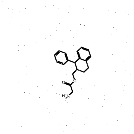 NCC(=O)OCC1CCc2ccccc2C1c1ccccc1